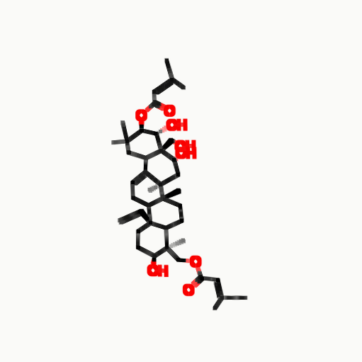 C=C[C@]12CC[C@H](O)[C@](C)(COC(=O)C=C(C)C)C1CC[C@]1(C)C2CC=C2C3CC(C)(C)[C@@H](OC(=O)C=C(C)C)[C@H](O)[C@]3(CO)[C@H](O)C[C@]21C